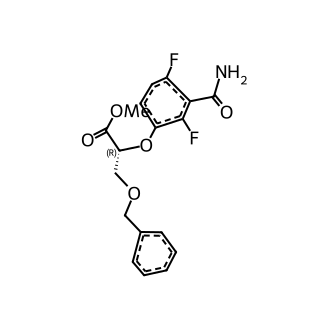 COC(=O)[C@@H](COCc1ccccc1)Oc1ccc(F)c(C(N)=O)c1F